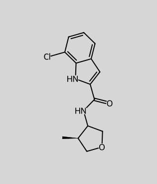 C[C@@H]1COCC1NC(=O)c1cc2cccc(Cl)c2[nH]1